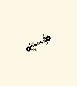 Nc1ccccc1C(=O)NCCSSCCNC(=O)c1ccccc1N